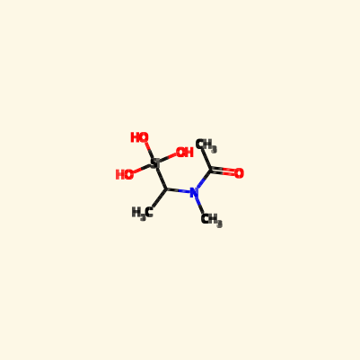 CC(=O)N(C)C(C)[Si](O)(O)O